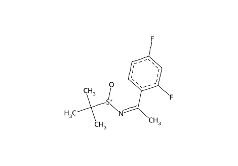 C/C(=N/[S+]([O-])C(C)(C)C)c1ccc(F)cc1F